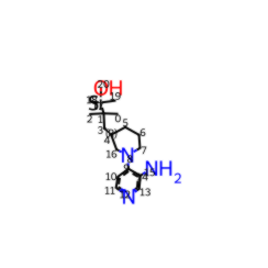 CC(C)(C[C@H]1CCCN(c2ccncc2N)C1)[Si](C)(C)O